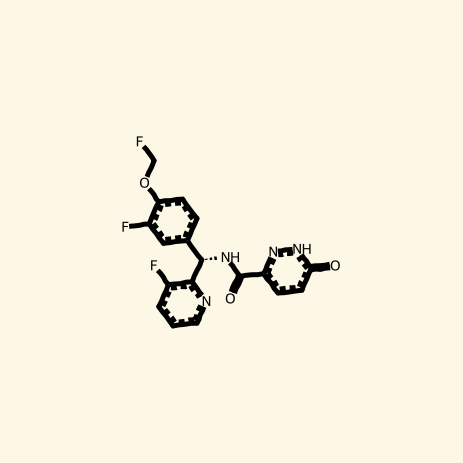 O=C(N[C@@H](c1ccc(OCF)c(F)c1)c1ncccc1F)c1ccc(=O)[nH]n1